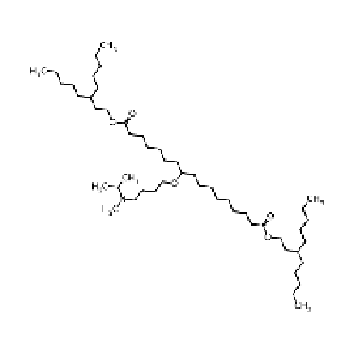 CCCCCC(CCCCC)CCOC(=O)CCCCCCCCC(CCCCCCC(=O)OCCC(CCCCC)CCCCC)OCCCCN(C)C(C)C